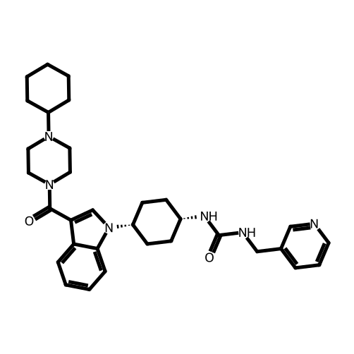 O=C(NCc1cccnc1)N[C@H]1CC[C@@H](n2cc(C(=O)N3CCN(C4CCCCC4)CC3)c3ccccc32)CC1